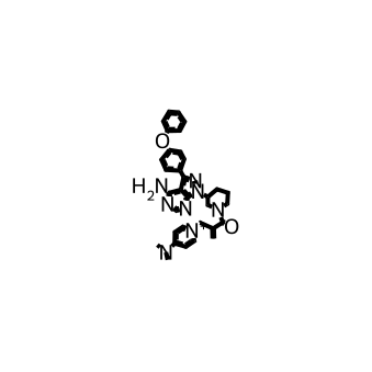 C=C(C[n+]1ccc(N(C)C)cc1)C(=O)N1CCCC(n2nc(-c3ccc(Oc4ccccc4)cc3)c3c(N)ncnc32)C1